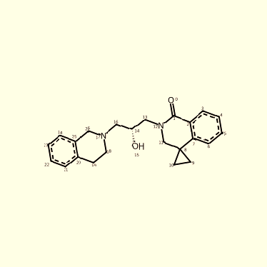 O=C1c2ccccc2C2(CC2)CN1C[C@H](O)CN1CCc2ccccc2C1